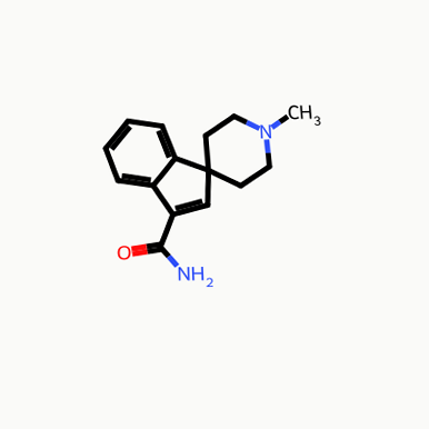 CN1CCC2(C=C(C(N)=O)c3ccccc32)CC1